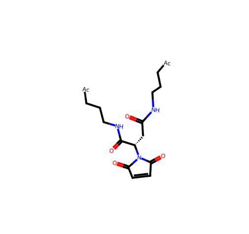 CC(=O)CCCNC(=O)C[C@@H](C(=O)NCCCC(C)=O)N1C(=O)C=CC1=O